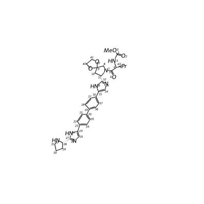 COC(=O)N[C@H](C(=O)N1CC2(C[C@H]1c1ncc(-c3ccc(-c4ccc(-c5cnc([C@@H]6CCCN6)[nH]5)cc4)cc3)[nH]1)OCCO2)C(C)C